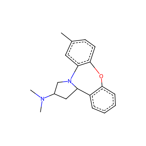 Cc1ccc2c(c1)N1CC(N(C)C)CC1c1ccccc1O2